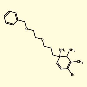 CC1=C(Br)C=CC(N)(CCCOCCOCc2ccccc2)C1N